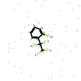 F[C](F)C(F)(F)c1ccccc1F